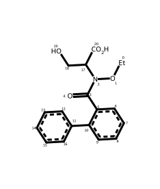 CCON(C(=O)c1ccccc1-c1ccccc1)C(CO)C(=O)O